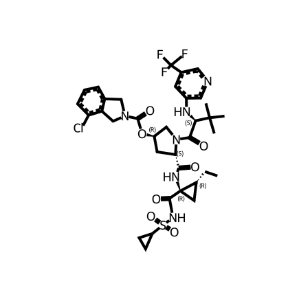 CC[C@@H]1C[C@]1(NC(=O)[C@@H]1C[C@@H](OC(=O)N2Cc3cccc(Cl)c3C2)CN1C(=O)[C@@H](Nc1cncc(C(F)(F)F)c1)C(C)(C)C)C(=O)NS(=O)(=O)C1CC1